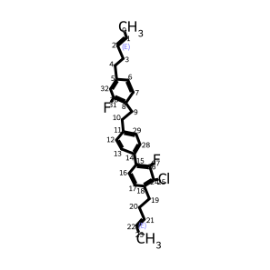 C/C=C/CCc1ccc(CCc2ccc(-c3ccc(CC/C=C/C)c(Cl)c3F)cc2)c(F)c1